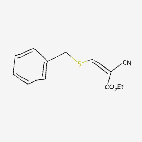 CCOC(=O)/C(C#N)=C\SCc1ccccc1